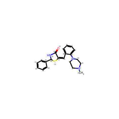 CN1CCN(c2ccccc2C=C2SC(c3ccccc3)NC2=O)CC1